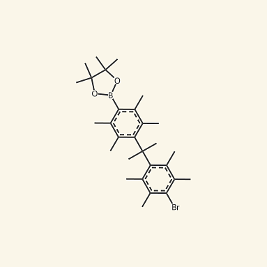 Cc1c(C)c(C(C)(C)c2c(C)c(C)c(B3OC(C)(C)C(C)(C)O3)c(C)c2C)c(C)c(C)c1Br